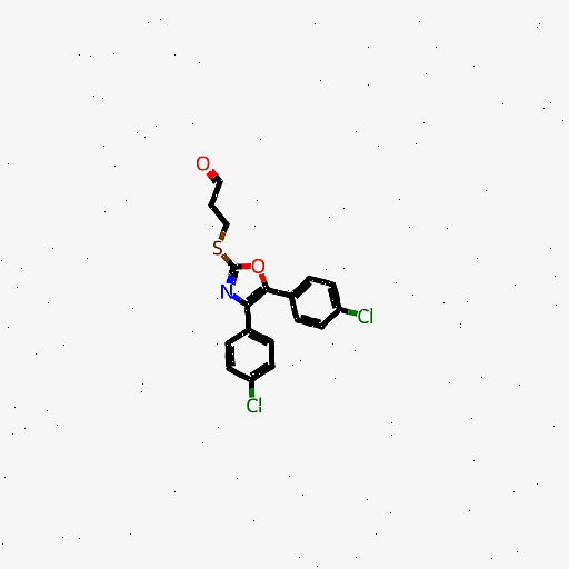 O=CCCSc1nc(-c2ccc(Cl)cc2)c(-c2ccc(Cl)cc2)o1